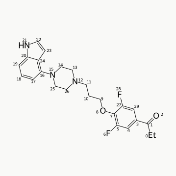 CCC(=O)c1cc(F)c(OCCCN2CCN(c3cccc4[nH]ccc34)CC2)c(F)c1